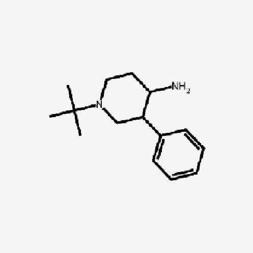 CC(C)(C)N1CCC(N)C(c2ccccc2)C1